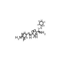 C[C@H](NC(=O)[C@H](N)CCc1ccccc1)C(=O)NCc1cnc(N)c(F)c1